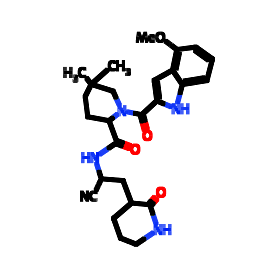 COc1cccc2[nH]c(C(=O)N3CC(C)(C)CCC3C(=O)NC(C#N)CC3CCCNC3=O)cc12